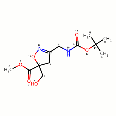 COC(=O)C1(CO)CC(CNC(=O)OC(C)(C)C)=NO1